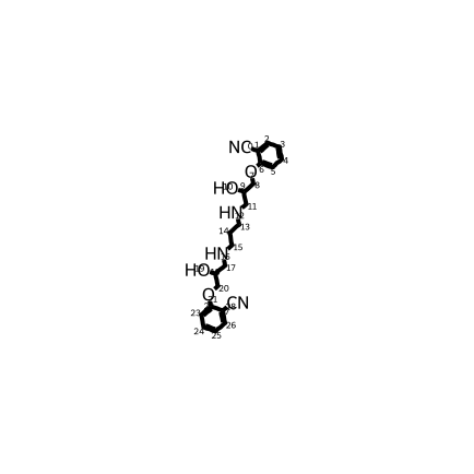 N#Cc1ccccc1OCC(O)CNCCCNCC(O)COc1ccccc1C#N